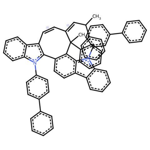 CC(/C=C1/C=C\c2c(n(-c3ccc(-c4ccccc4)cc3)c3ccccc23)-c2ccc3c4ccccc4n(-c4cccc(-c5ccccc5)c4)c3c2C1(C)c1ccccc1)c1ccccc1